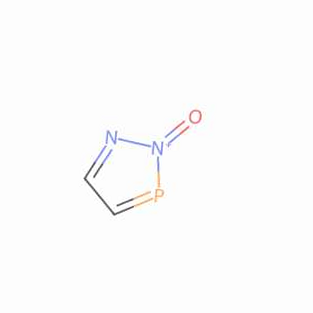 O=[N+]1N=CC=P1